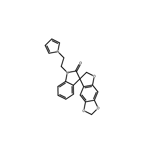 O=C1N(CCn2cccc2)c2ccccc2C12COc1cc3c(cc12)OCO3